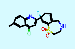 Cc1ccc2nc(C3(F)C=C4C(=CC3)CNCCS4(=O)=O)cc(Cl)c2c1